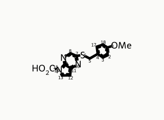 COc1ccc(CSc2cnc3c(ccn3C(=O)O)n2)cc1